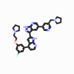 Fc1cc(OCCN2CCCC2)cc(-c2ccnc3[nH]c(-c4n[nH]c5ncc(-c6cncc(CN7CCCC7)c6)cc45)cc23)c1